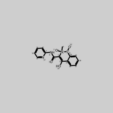 C[N+]1([O-])C(C(=O)Nc2ccccn2)=C(O)c2ccccc2[S+]1[O-]